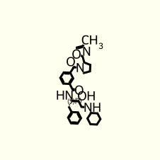 Cc1coc(C2CCCN2C(=O)c2cccc(C(=O)N[C@@H](Cc3ccccc3)[C@H](O)CNC3CCCCC3)c2)n1